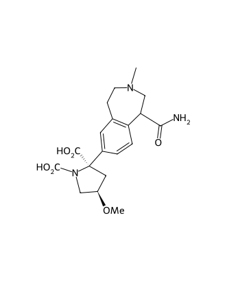 CO[C@H]1CN(C(=O)O)[C@@](C(=O)O)(c2ccc3c(c2)CCN(C)CC3C(N)=O)C1